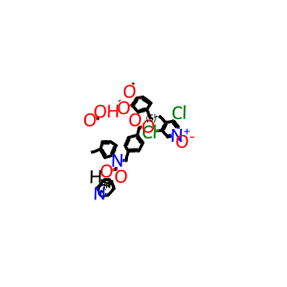 COc1ccc([C@H](Cc2c(Cl)c[n+]([O-])cc2Cl)OC(=O)c2ccc(CN(C(=O)O[C@H]3CN4CCC3CC4)c3cccc(C)c3)cc2)cc1OC.O=CO